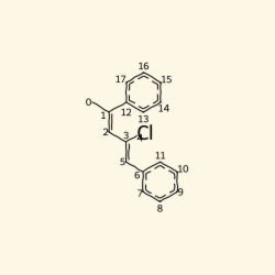 CC(=CC(Cl)=Cc1ccccc1)c1ccccc1